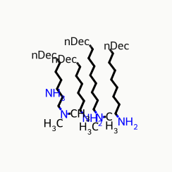 CCCCCCCCCCCCCCCCCCN.CCCCCCCCCCCCCCCCCCN(C)C.CCCCCCCCCCCCCCCCN.CCCCCCCCCCCCCCCCN(C)C.N